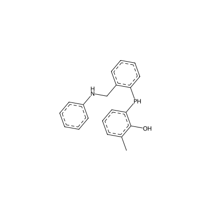 Cc1cccc(Pc2ccccc2CNc2ccccc2)c1O